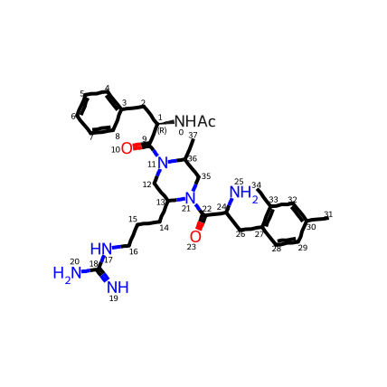 CC(=O)N[C@H](Cc1ccccc1)C(=O)N1CC(CCCNC(=N)N)N(C(=O)C(N)Cc2ccc(C)cc2C)CC1C